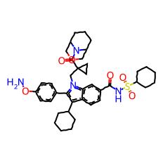 NOc1ccc(-c2c(C3CCCCC3)c3ccc(C(=O)NS(=O)(=O)C4CCCCC4)cc3n2CC2(C(=O)N3C4CCCC3COC4)CC2)cc1